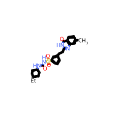 CCC1CCC(NC(=O)NS(=O)(=O)c2cccc(CCc3nc4cc(C)ccc4c(=O)[nH]3)c2)CC1